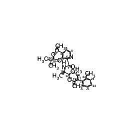 COc1ccnc(C(=O)N[C@@H](C)C(=O)O[C@@H](C)[C@@H](C)c2ccccc2C)c1OC(=O)C(C)C